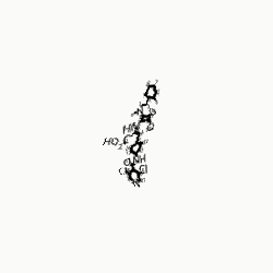 CN(CCc1ccccc1)c1c(N[C@@H](Cc2ccc(NC(=O)c3c(Cl)cncc3Cl)cc2)C(=O)O)c(=O)c1=O